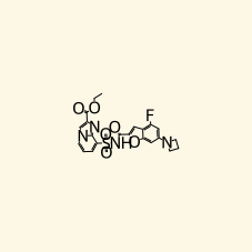 CCOC(=O)c1cn2cccc(S(=O)(=O)NC(=O)c3cc4c(F)cc(N5CCC5)cc4o3)c2n1